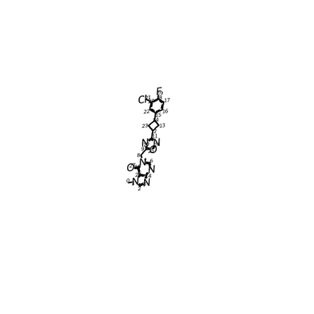 Cn1cnc2ncn(Cc3nc(C4CC(c5ccc(F)c(Cl)c5)C4)no3)c(=O)c21